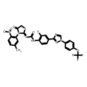 Cc1ccc([N+](=O)[O-])c(N2C(=O)CS/C2=N\C(=O)Nc2ccc(-c3ncn(-c4ccc(OC(F)(F)F)cc4)n3)cc2F)c1